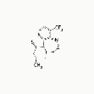 CC1=CC2=CSN=c3c(C(F)(F)F)cccc3=C2C(=S)C1